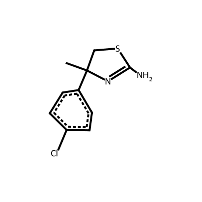 CC1(c2ccc(Cl)cc2)CSC(N)=N1